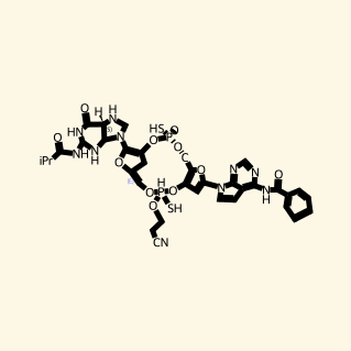 CC(C)C(=O)NC1NC(=O)[C@H]2NCN(C3=C4C/C(=C\O[PH](S)(OCCC#N)Oc5cc(-n6ccc7c(NC(=O)c8ccccc8)ncnc76)oc5COP(=O)(S)O4)O3)C2N1